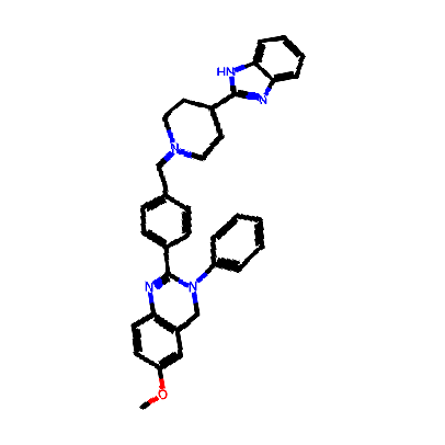 COc1ccc2c(c1)CN(c1ccccc1)C(c1ccc(CN3CCC(c4nc5ccccc5[nH]4)CC3)cc1)=N2